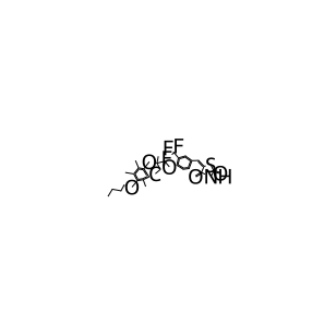 CCCCOc1c(C)c(C)c2c(c1C)CCC(C)(COc1ccc(C=C3SC(=O)NC3=O)cc1C(F)(F)F)O2